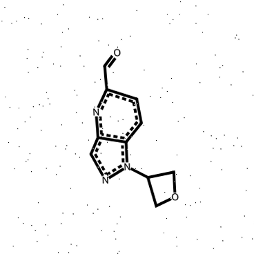 O=Cc1ccc2c(cnn2C2COC2)n1